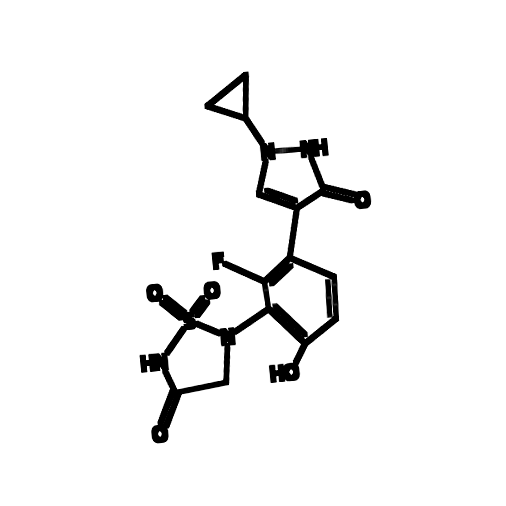 O=C1CN(c2c(O)ccc(-c3cn(C4CC4)[nH]c3=O)c2F)S(=O)(=O)N1